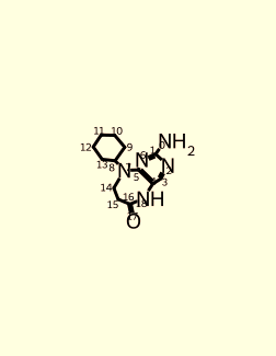 Nc1ncc2c(n1)N(C1CCCCC1)CCC(=O)N2